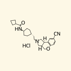 Cl.N#Cc1ccc2c(c1)[C@@H]1CN(CC[C@H]3CC[C@H](NC(=O)C4CCC4)CC3)C[C@H]1CO2